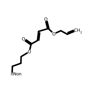 C=CCOC(=O)C=CC(=O)OCCCCCCCCCCCC